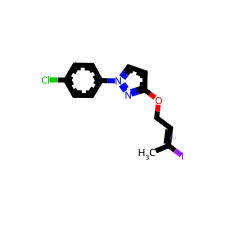 C/C(I)=C\COc1ccn(-c2ccc(Cl)cc2)n1